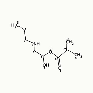 [CH2]CCNCC(O)OC(=O)C(=C)C